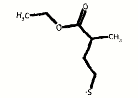 CCOC(=O)C(C)CC[S]